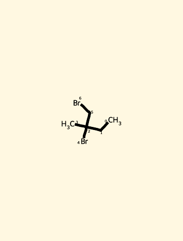 CCC(C)(Br)[CH]Br